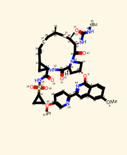 COc1ccc2c(O[C@@H]3C[C@H]4C(=O)NC5(C(=O)NS(=O)(=O)C6CC6)CC5/C=C\CC[C@@H](C)C[C@@H](C)[C@H](NC(=O)NC(C)(C)C)C(=O)N4C3)nc(-c3ccc(OC(C)C)cn3)cc2c1